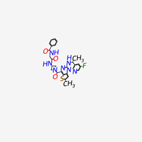 Cc1cc2nc(NC(C)c3cncc(F)c3)nc(C(=O)N3CC(NC(=O)CNC(=O)c4ccccc4)C3)c2s1